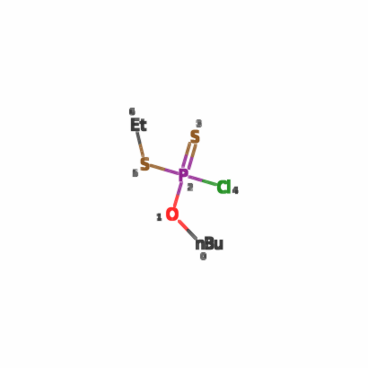 CCCCOP(=S)(Cl)SCC